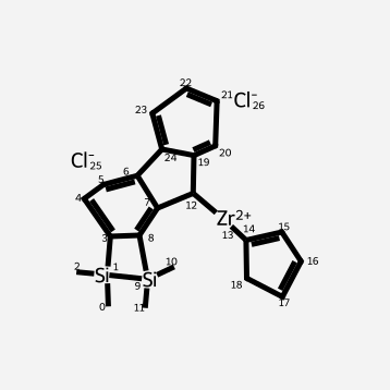 C[Si]1(C)c2ccc3c(c2[Si]1(C)C)[CH]([Zr+2][C]1=CC=CC1)c1ccccc1-3.[Cl-].[Cl-]